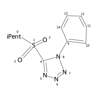 CCCC(C)S(=O)(=O)c1nnnn1-c1ccccc1